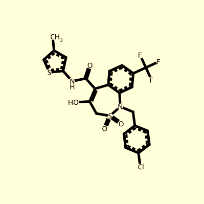 Cc1csc(NC(=O)C2=C(O)CS(=O)(=O)N(Cc3ccc(Cl)cc3)c3cc(C(F)(F)F)ccc32)c1